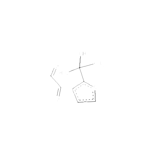 CC(C)(C)c1cccs1.O=CC=O